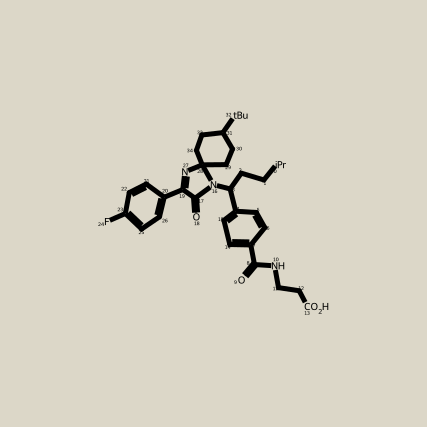 CC(C)CCC(c1ccc(C(=O)NCCC(=O)O)cc1)N1C(=O)C(c2ccc(F)cc2)=NC12CCC(C(C)(C)C)CC2